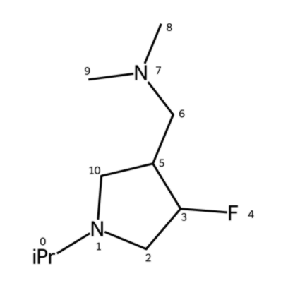 CC(C)N1CC(F)C(CN(C)C)C1